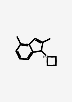 CC1=Cc2c(C)cccc2C1[SiH]1CCC1